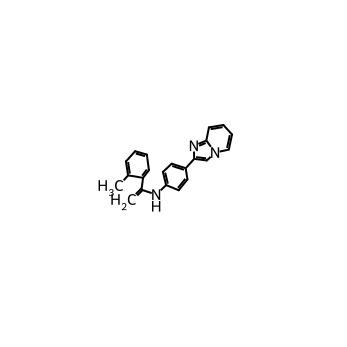 C=C(Nc1ccc(-c2cn3ccccc3n2)cc1)c1ccccc1C